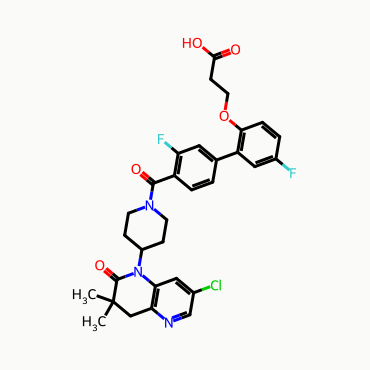 CC1(C)Cc2ncc(Cl)cc2N(C2CCN(C(=O)c3ccc(-c4cc(F)ccc4OCCC(=O)O)cc3F)CC2)C1=O